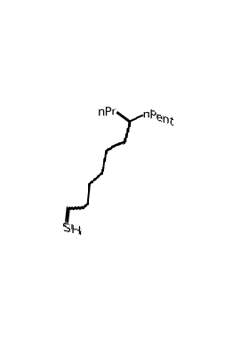 CCCCCC(CCC)CCCCCCS